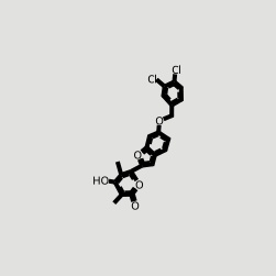 Cc1c(-c2cc3ccc(OCc4ccc(Cl)c(Cl)c4)cc3o2)oc(=O)c(C)c1O